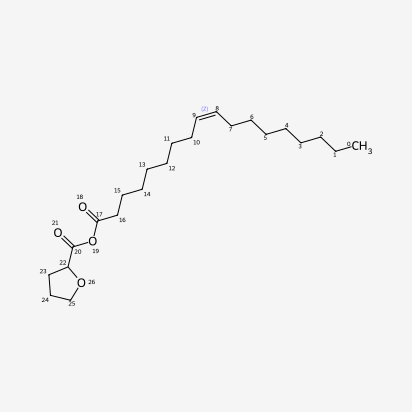 CCCCCCCC/C=C\CCCCCCCC(=O)OC(=O)C1CCCO1